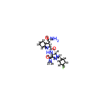 Cc1c(NC(=O)c2cc(C(N)=O)c3ccccc3n2)c(C(=O)N(C)C)nn1Cc1ccc(F)cc1